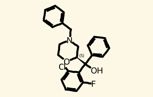 OC(c1ccccc1)(c1c(F)cccc1Cl)[C@@H]1CN(Cc2ccccc2)CCO1